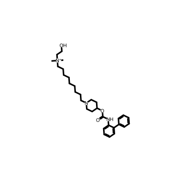 C[N+](C)(CCO)CCCCCCCCCN1CCC(OC(=O)Nc2ccccc2-c2ccccc2)CC1